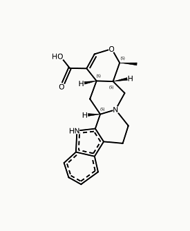 C[C@@H]1OC=C(C(=O)O)[C@H]2C[C@H]3c4[nH]c5ccccc5c4CCN3C[C@@H]12